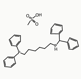 CS(=O)(=O)O.c1ccc(C(PCCCCCCP(c2ccccc2)c2ccccc2)c2ccccc2)cc1